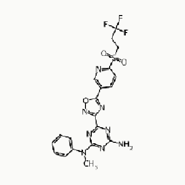 CN(c1ccccc1)c1nc(N)nc(-c2noc(-c3ccc(S(=O)(=O)CCC(F)(F)F)nc3)n2)n1